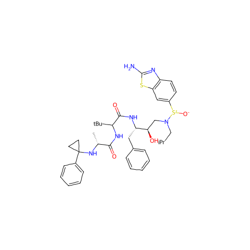 CC(C)CN(C[C@@H](O)[C@H](Cc1ccccc1)NC(=O)C(NC(=O)[C@@H](C)NC1(c2ccccc2)CC1)C(C)(C)C)[S+]([O-])c1ccc2nc(N)sc2c1